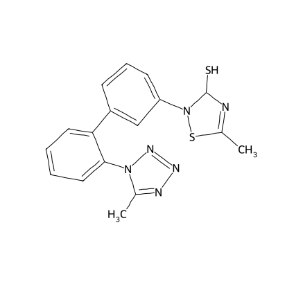 CC1=NC(S)N(c2cccc(-c3ccccc3-n3nnnc3C)c2)S1